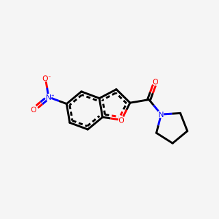 O=C(c1cc2cc([N+](=O)[O-])ccc2o1)N1CCCC1